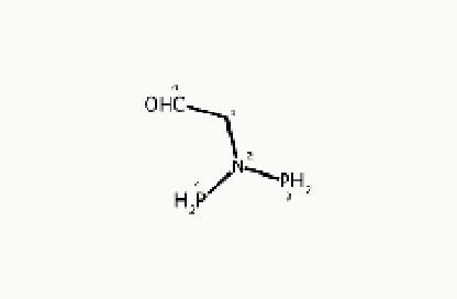 O=CCN(P)P